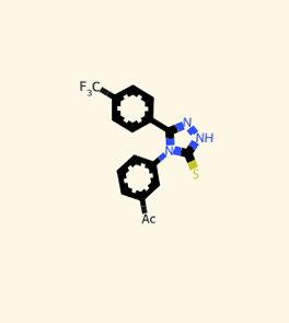 CC(=O)c1cccc(-n2c(-c3ccc(C(F)(F)F)cc3)n[nH]c2=S)c1